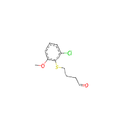 COc1cccc(Cl)c1SCCCC=O